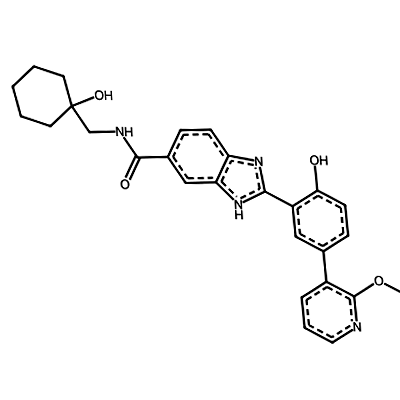 COc1ncccc1-c1ccc(O)c(-c2nc3ccc(C(=O)NCC4(O)CCCCC4)cc3[nH]2)c1